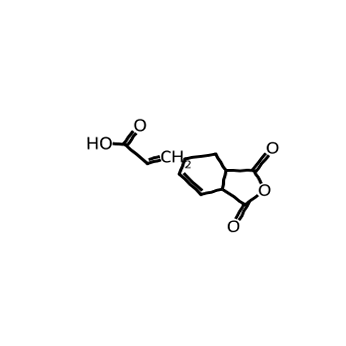 C=CC(=O)O.O=C1OC(=O)C2CCC=CC12